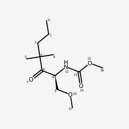 CCCC(C)(C)C(=O)[C@H](COC)NC(=O)OC